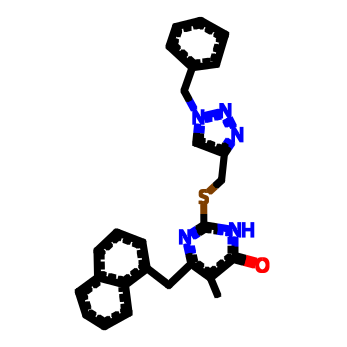 Cc1c(Cc2cccc3ccccc23)nc(SCc2cn(Cc3ccccc3)nn2)[nH]c1=O